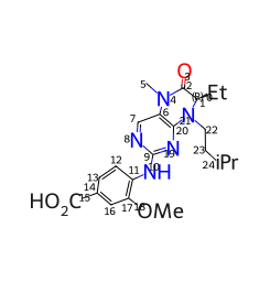 CC[C@@H]1C(=O)N(C)c2cnc(Nc3ccc(C(=O)O)cc3OC)nc2N1CCC(C)C